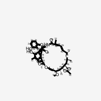 CO[C@H]1/C=C/O[C@@]2(C)Oc3c(C)c(O)c4c(=O)c(c5oc6cccc(O)c6nc-5c4c3C2=O)NC(=O)/C(C)=C\C=C\[C@H](C)C[C@@H](C)C[C@@H](C)[C@H](OC(C)=O)[C@@H]1C